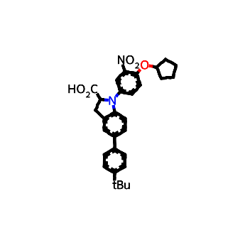 CC(C)(C)c1ccc(-c2ccc3c(c2)CC(C(=O)O)N3c2ccc(OC3CCCC3)c([N+](=O)[O-])c2)cc1